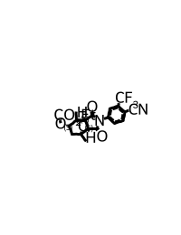 CCOC(=O)O[C@H]1CC2(C)OC1(C)[C@@H]1C(=O)N(c3ccc(C#N)c(C(F)(F)F)c3)C(=O)[C@@H]12